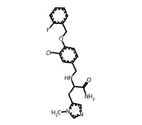 Cn1cncc1CC(NCc1ccc(OCc2ccccc2F)c(Cl)c1)C(N)=O